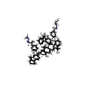 C=C(/C=C\C=C/C)c1ccc(N(c2ccc3c(c2)C(C)(C)C2=C(C=C4C(C=C2)c2c(N(c5ccc(C/C=C\C=C/C)cc5)c5ccc6c(c5)C(C)(C)c5ccccc5-6)cccc2C4(C)C)C3)c2ccc3c(c2)C(C)(C)c2ccccc2-3)cc1